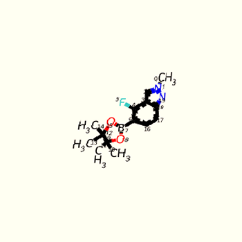 Cn1cc2c(F)c(B3OC(C)(C)C(C)(C)O3)ccc2n1